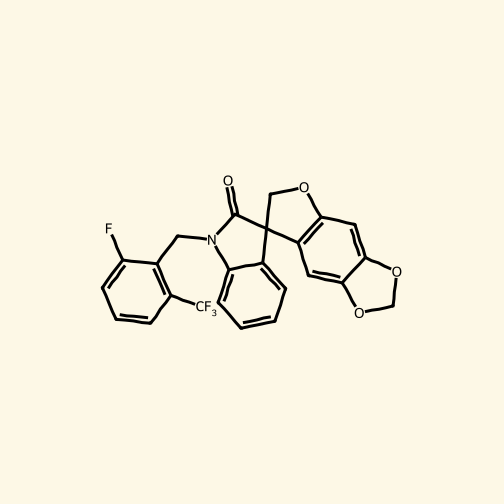 O=C1N(Cc2c(F)cccc2C(F)(F)F)c2ccccc2C12COc1cc3c(cc12)OCO3